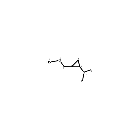 CN(C)C1CC1COS